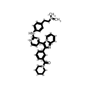 CN(C)CCc1ccc(Nc2nccc(-c3c(-c4cccc(C(=O)N5CCCCC5)c4)nc4ccccn34)n2)cc1